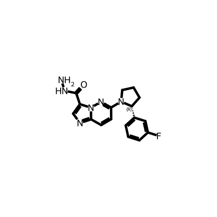 NNC(=O)c1cnc2ccc(N3CCC[C@@H]3c3cccc(F)c3)nn12